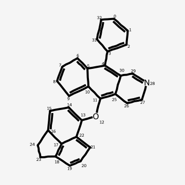 c1ccc(-c2c3ccccc3c(Oc3ccc4c5c(cccc35)CC4)c3ccncc23)cc1